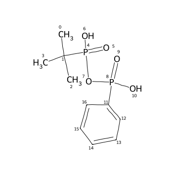 CC(C)(C)P(=O)(O)OP(=O)(O)c1ccccc1